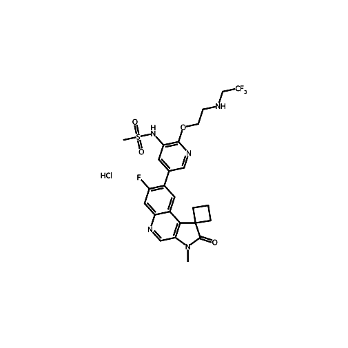 CN1C(=O)C2(CCC2)c2c1cnc1cc(F)c(-c3cnc(OCCNCC(F)(F)F)c(NS(C)(=O)=O)c3)cc21.Cl